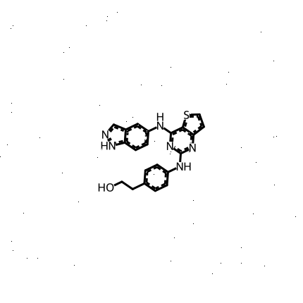 OCCc1ccc(Nc2nc(Nc3ccc4[nH]ncc4c3)c3sccc3n2)cc1